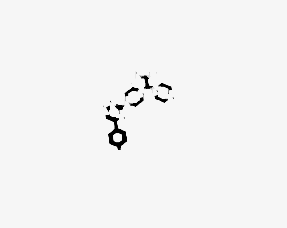 NC(=O)C(N1CCNCC1)N1CCN(c2nncc(-c3ccc(F)cc3)n2)CC1